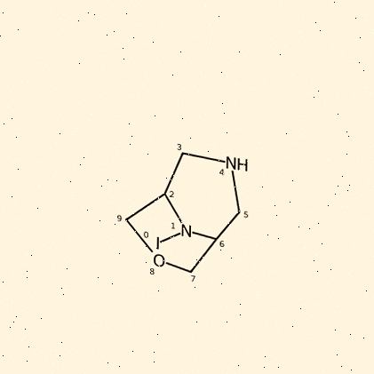 IN1C2CNCC1COC2